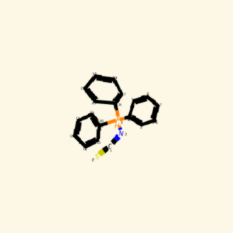 S=C=N[PH](c1ccccc1)(c1ccccc1)c1ccccc1